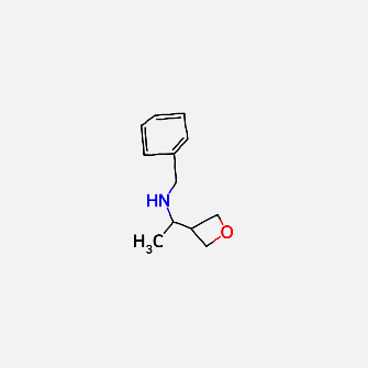 CC(NCc1ccccc1)C1COC1